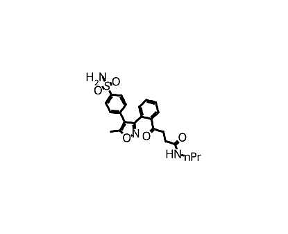 CCCNC(=O)CCC(=O)c1ccccc1-c1noc(C)c1-c1ccc(S(N)(=O)=O)cc1